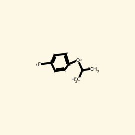 C[C](C)Oc1ccc(F)cc1